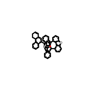 C1=Cc2cc(-c3nc(-c4ccccc4)nc(-c4cccc5oc6cccc(-c7cccc8c7sc7ccccc78)c6c45)n3)c3ccccc3c2CC1